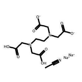 CC#N.O=C([O-])CN(CCN(CC(=O)O)CC(=O)O)CC(=O)[O-].[Na+].[Na+]